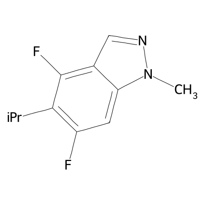 CC(C)c1c(F)cc2c(cnn2C)c1F